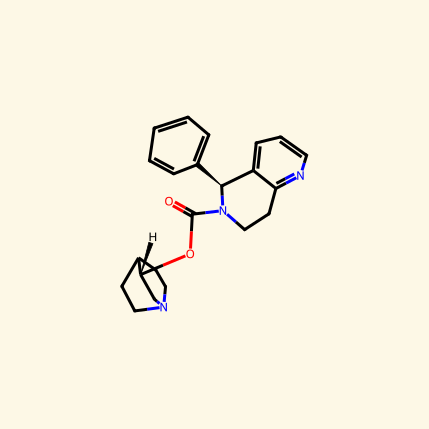 O=C(O[C@@H]1CN2CCC1CC2)N1CCc2ncccc2[C@@H]1c1ccccc1